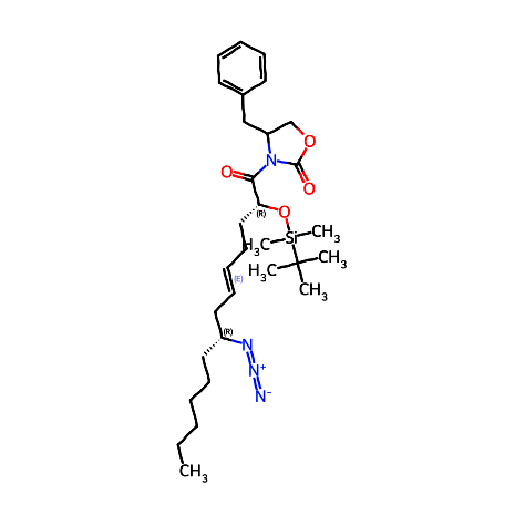 CCCCCC[C@H](C/C=C/CC[C@@H](O[Si](C)(C)C(C)(C)C)C(=O)N1C(=O)OCC1Cc1ccccc1)N=[N+]=[N-]